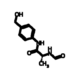 C[C@@H](NC=O)C(=O)Nc1ccc(CO)cc1